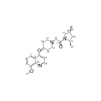 COc1cccc2c(OC3CCN(CC(=O)N4C[C@@H](F)C[C@H]4C)CC3)ccnc12